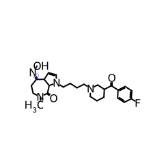 CN1CC/C(=N/O)C2C=CN(CCCCN3CCCC(C(=O)c4ccc(F)cc4)C3)C2C1=O